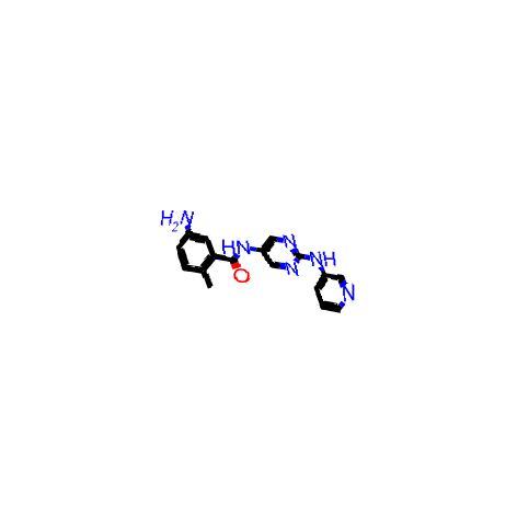 Cc1ccc(N)cc1C(=O)Nc1cnc(Nc2cccnc2)nc1